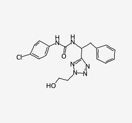 O=C(Nc1ccc(Cl)cc1)NC(Cc1ccccc1)c1nnn(CCO)n1